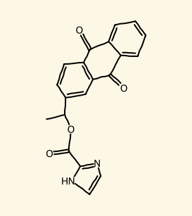 CC(OC(=O)c1ncc[nH]1)c1ccc2c(c1)C(=O)c1ccccc1C2=O